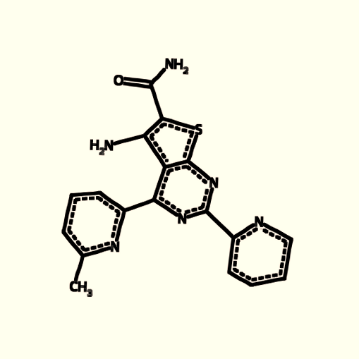 Cc1cccc(-c2nc(-c3ccccn3)nc3sc(C(N)=O)c(N)c23)n1